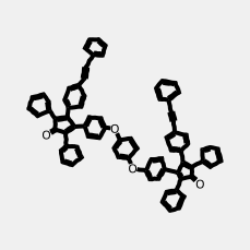 O=C1C(c2ccccc2)=C(c2ccc(C#Cc3ccccc3)cc2)C(c2ccc(Oc3ccc(Oc4ccc(C5=C(c6ccccc6)C(=O)C(c6ccccc6)=C5c5ccc(C#Cc6ccccc6)cc5)cc4)cc3)cc2)=C1c1ccccc1